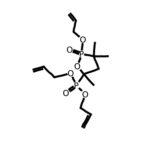 C=CCOP1(=O)OC(C)(P(=O)(OCC=C)OCC=C)CC1(C)C